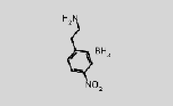 B.NCCc1ccc([N+](=O)[O-])cc1